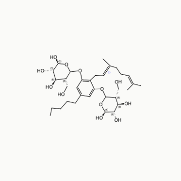 CCCCCc1cc(OC2O[C@H](O)[C@@H](O)[C@H](O)[C@H]2CO)c(C/C=C(\C)CCC=C(C)C)c(OC2O[C@H](O)[C@@H](O)[C@H](O)[C@H]2CO)c1